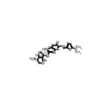 CN(C)c1ccc(CNc2nc3nc(O[C@@H]4CO[C@H]5[C@@H]4OC[C@H]5O)[nH]c3cc2Cl)o1